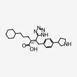 O=C(O)[C@@H](CCCC1CCCCC1)[C@H](Cc1ccc(C2CCNC2)cc1)c1nnn[nH]1